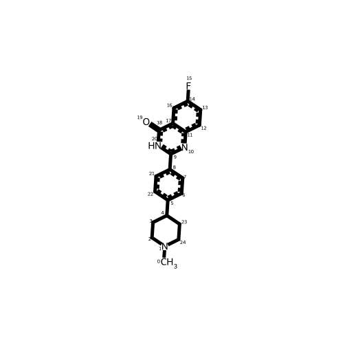 CN1CCC(c2ccc(-c3nc4ccc(F)cc4c(=O)[nH]3)cc2)CC1